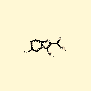 NC(=O)c1nc2ccc(Br)cn2c1N